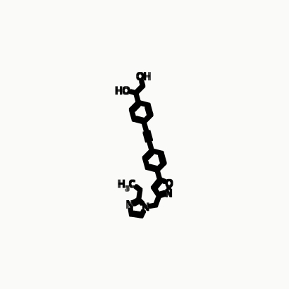 CCc1nccn1Cc1cc(-c2ccc(C#Cc3ccc(C(O)CO)cc3)cc2)on1